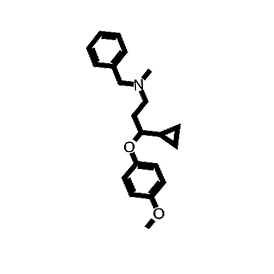 COc1ccc(OC(CCN(C)Cc2ccccc2)C2CC2)cc1